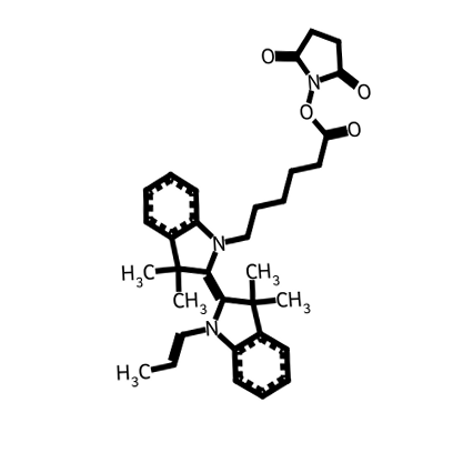 CC=CN1C(=C2N(CCCCCC(=O)ON3C(=O)CCC3=O)c3ccccc3C2(C)C)C(C)(C)c2ccccc21